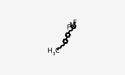 CCCCCc1ccc(-c2ccc(CCc3ccc(F)nc3F)cc2)cc1